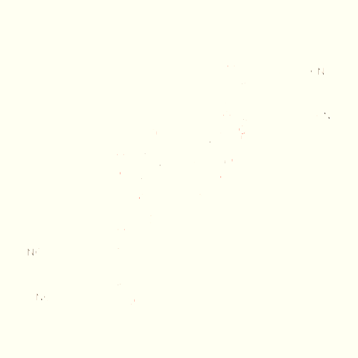 N#Cc1cc2c(cc1C#N)C(=O)C(=CC1=CC3=C(c4sc5cc(C=C6C(=O)c7cc(C#N)c(C#N)cc7C6=O)sc5c4C3(C(=O)OCc3ccccc3)C(=O)OCc3ccccc3)C1(C(=O)OCc1ccccc1)C(=O)OCc1ccccc1)C2=O